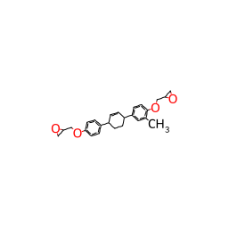 Cc1cc(C2C=CC(c3ccc(OCC4CO4)cc3)CC2)ccc1OCC1CO1